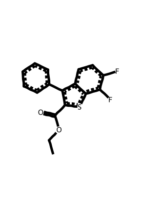 CCOC(=O)c1sc2c(F)c(F)ccc2c1-c1ccccc1